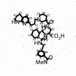 CNC(=O)c1cccc(CNC(=O)[C@@H]2CCCC[C@H]2C(=O)NC(CNC(=O)C2CCCN(CCCc3ccc4c(n3)NCCC4)C2)C(=O)O)c1